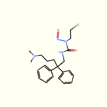 CN(C)CCCC(CNC(=O)N(CCCl)N=O)(c1ccccc1)c1ccccc1